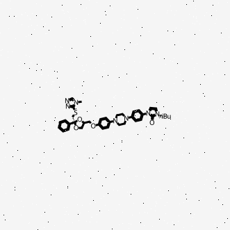 CC[C@@H](C)n1ccn(-c2ccc(N3CCN(c4ccc(OCC5CO[C@@](CSc6nncn6C)(c6ccccc6)O5)cc4)CC3)cc2)c1=O